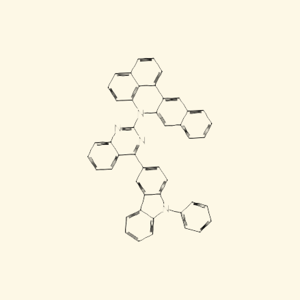 c1ccc(-n2c3ccccc3c3cc(-c4nc(N5c6cc7ccccc7cc6-c6cccc7cccc5c67)nc5ccccc45)ccc32)cc1